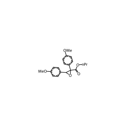 CCCOC(=O)C1(c2ccc(OC)cc2)OC1c1ccc(OC)cc1